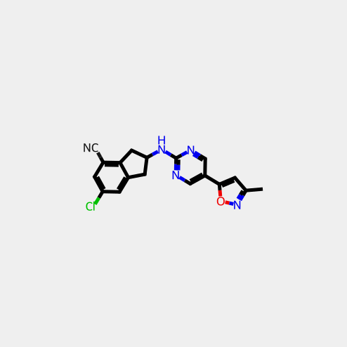 Cc1cc(-c2cnc(NC3Cc4cc(Cl)cc(C#N)c4C3)nc2)on1